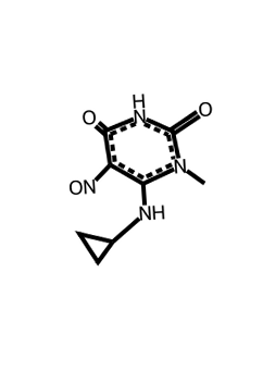 Cn1c(NC2CC2)c(N=O)c(=O)[nH]c1=O